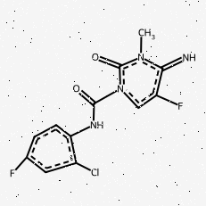 Cn1c(=N)c(F)cn(C(=O)Nc2ccc(F)cc2Cl)c1=O